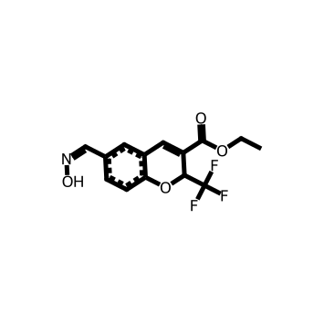 CCOC(=O)C1=Cc2cc(/C=N\O)ccc2OC1C(F)(F)F